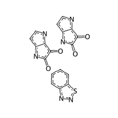 O=c1nc2ccnc-2c1=O.O=c1nc2ccnc-2c1=O.c1ccc2snnc2c1